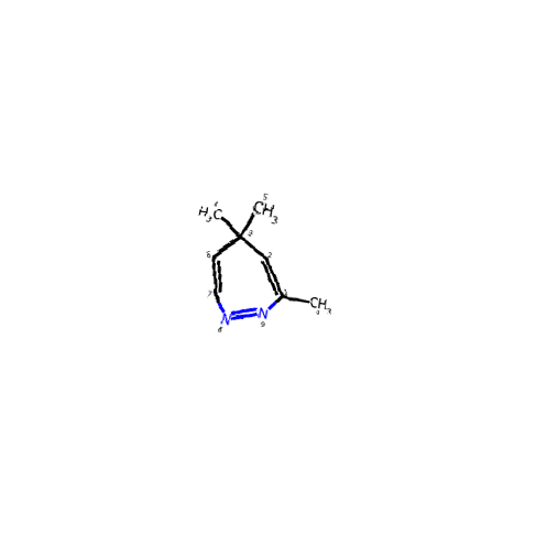 CC1=CC(C)(C)C=CN=N1